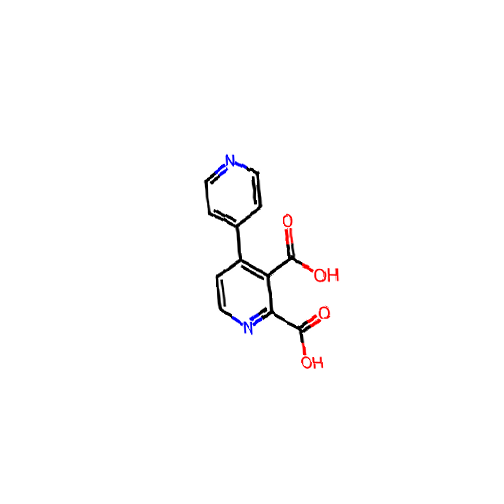 O=C(O)c1nccc(-c2ccncc2)c1C(=O)O